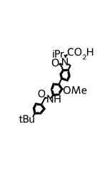 COc1cc(NC(=O)c2ccc(C(C)(C)C)cc2)ccc1-c1ccc2c(c1)C(=O)N(C(C(=O)O)C(C)C)C2